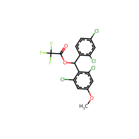 COc1cc(Cl)c(C(OC(=O)C(F)(F)F)c2ccc(Cl)cc2Cl)c(Cl)c1